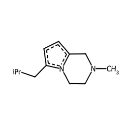 CC(C)Cc1ccc2n1CCN(C)C2